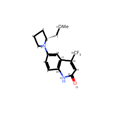 COC[C@H]1CCCN1c1ccc2[nH]c(=O)cc(C(F)(F)F)c2c1